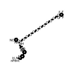 CCCCCc1cc2ccc(-c3cccc(S(=O)(=O)N4CC(CN/C(=N\CCOCCOCCOCCOCCOCCOCCOCCOCCOCCOCCC(=O)Oc5c(F)c(F)cc(F)c5F)Nc5cccc(C#N)c5)C4)c3)cc2nc1N